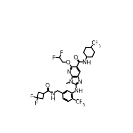 Cn1c(Nc2cc(CNC(=O)C3CC(F)(F)C3)ccc2C(F)(F)F)nc2cc(C(=O)NC3CCC(C(F)(F)F)CC3)c(OCC(F)F)nc21